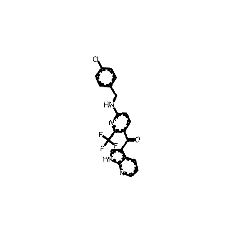 O=C(c1ccc(NCc2ccc(Cl)cc2)nc1C(F)(F)F)c1c[nH]c2ncccc12